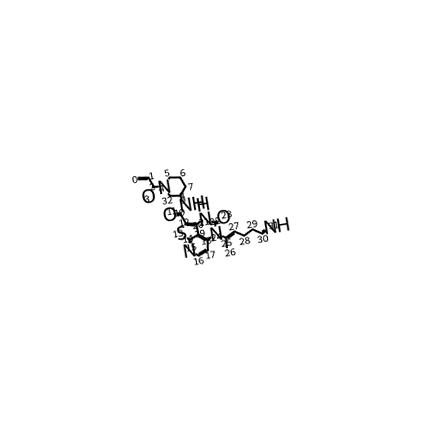 C=CC(=O)N1CCC[C@@H](NC(=O)c2sc3nccc4c3c2NC(=O)N4/C(C)=C/CCC=N)C1